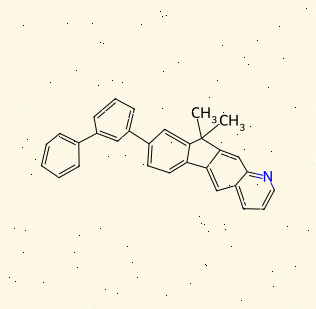 CC1(C)c2cc(-c3cccc(-c4ccccc4)c3)ccc2-c2cc3cccnc3cc21